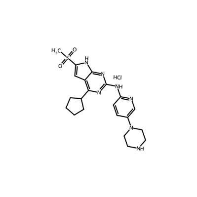 CS(=O)(=O)c1cc2c(C3CCCC3)nc(Nc3ccc(N4CCNCC4)cn3)nc2[nH]1.Cl